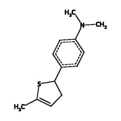 CC1=CCC(c2ccc(N(C)C)cc2)S1